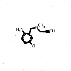 C#CCN(C)Cc1cc(Cl)ccc1N